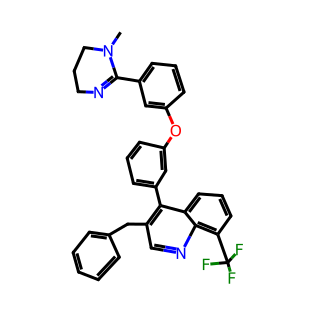 CN1CCCN=C1c1cccc(Oc2cccc(-c3c(Cc4ccccc4)cnc4c(C(F)(F)F)cccc34)c2)c1